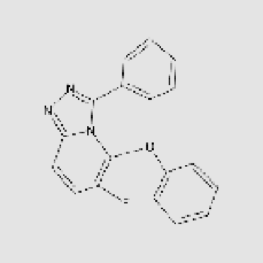 Fc1ccc2nnc(-c3ccccc3)n2c1Oc1ccccc1